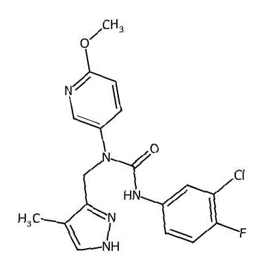 COc1ccc(N(Cc2n[nH]cc2C)C(=O)Nc2ccc(F)c(Cl)c2)cn1